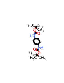 CC(C)(C)OC(=O)N[C@H]1CC[C@@H](NC(=O)OC(C)(C)C)CC1